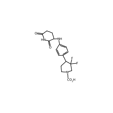 O=C1CCC(Nc2ccc(C3CCN(C(=O)O)CC3(F)F)cc2)C(=O)N1